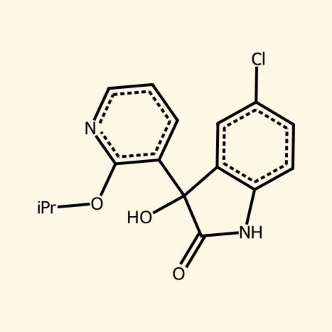 CC(C)Oc1ncccc1C1(O)C(=O)Nc2ccc(Cl)cc21